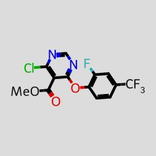 COC(=O)c1c(Cl)ncnc1Oc1ccc(C(F)(F)F)cc1F